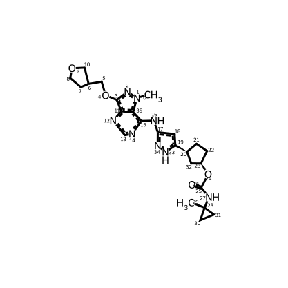 Cn1nc(OCC2CCOC2)c2ncnc(Nc3cc([C@H]4CC[C@@H](OC(=O)NC5(C)CC5)C4)[nH]n3)c21